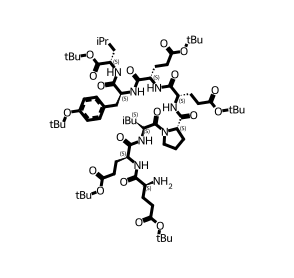 CC[C@H](C)[C@H](NC(=O)[C@H](CCC(=O)OC(C)(C)C)NC(=O)[C@@H](N)CCC(=O)OC(C)(C)C)C(=O)N1CCC[C@H]1C(=O)N[C@@H](CCC(=O)OC(C)(C)C)C(=O)N[C@@H](CCC(=O)OC(C)(C)C)C(=O)N[C@@H](Cc1ccc(OC(C)(C)C)cc1)C(=O)N[C@@H](CC(C)C)C(=O)OC(C)(C)C